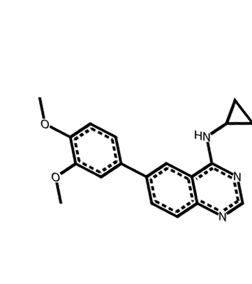 COc1ccc(-c2ccc3ncnc(NC4CC4)c3c2)cc1OC